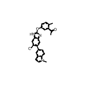 CC(=O)c1cc(Oc2nc3cc(-c4ccc5c(ccn5C)c4)c(Cl)cc3[nH]2)ccc1C